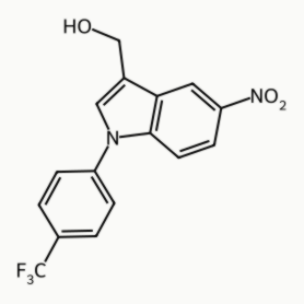 O=[N+]([O-])c1ccc2c(c1)c(CO)cn2-c1ccc(C(F)(F)F)cc1